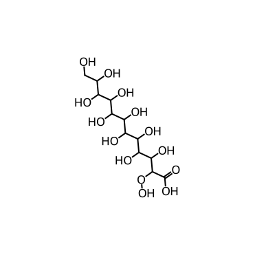 O=C(O)C(OO)C(O)C(O)C(O)C(O)C(O)C(O)C(O)C(O)C(O)CO